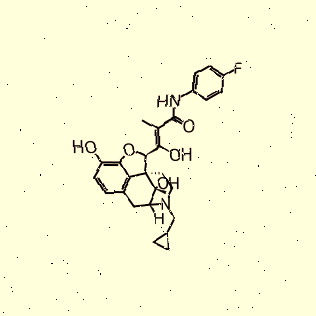 C/C(C(=O)Nc1ccc(F)cc1)=C(/O)[C@@H]1Oc2c(O)ccc3c2[C@@]12CCN(CC1CC1)[C@H](C3)[C@@]2(C)O